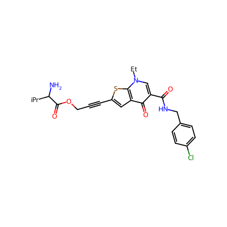 CCn1cc(C(=O)NCc2ccc(Cl)cc2)c(=O)c2cc(C#CCOC(=O)C(N)C(C)C)sc21